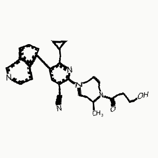 CC1CN(c2nc(C3CC3)c(-c3cccc4cnccc34)cc2C#N)CCN1C(=O)CCO